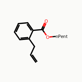 C=CCc1ccccc1C(=O)OCCCCC